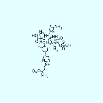 CC1(C)[C@H](NC(=O)/C(=N\O[C@](C)(C(=O)O)[C@H]2CCc3cc(-c4cnc(NCC[C@@H](N)OC=O)nc4)ccc3O2)c2csc(N)n2)C(=O)N1OS(=O)(=O)O